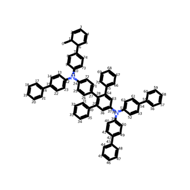 CC1C=CC=CC1c1ccc(N(c2ccc(-c3ccccc3)cc2)c2ccc(-c3c(-c4ccccc4)cc(N(c4ccc(-c5ccccc5)cc4)c4ccc(-c5ccccc5)cc4)cc3-c3ccccc3)cc2)cc1